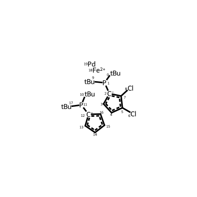 CC(C)(C)P([c-]1ccc(Cl)c1Cl)C(C)(C)C.CC(C)(C)P([c-]1cccc1)C(C)(C)C.[Fe+2].[Pd]